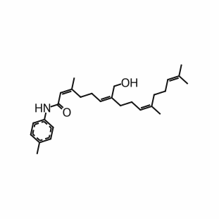 CC(C)=CCCC(C)=CCCC(=CCCC(C)=CC(=O)Nc1ccc(C)cc1)CO